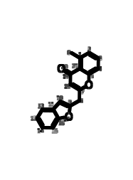 Cc1cccc2oc(Cc3cc4ccccc4o3)cc(=O)c12